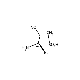 CC[C@@H](N)CC#N.CS(=O)(=O)O